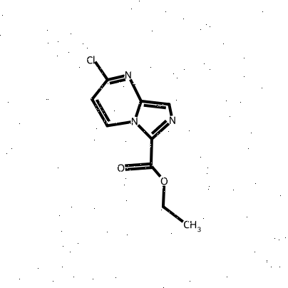 CCOC(=O)c1ncc2nc(Cl)ccn12